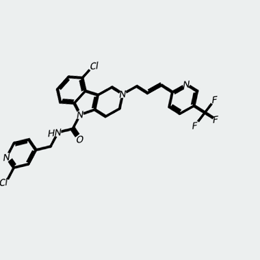 O=C(NCc1ccnc(Cl)c1)n1c2c(c3c(Cl)cccc31)CN(C/C=C/c1ccc(C(F)(F)F)cn1)CC2